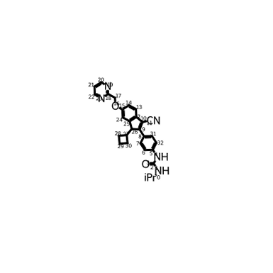 CC(C)NC(=O)Nc1ccc(C2=C(C#N)c3ccc(OCc4ncccn4)cc3C2C2CCC2)cc1